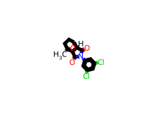 CC12CCC(O1)[C@H]1C(=O)N(c3cc(Cl)cc(Cl)c3)C(=O)C12